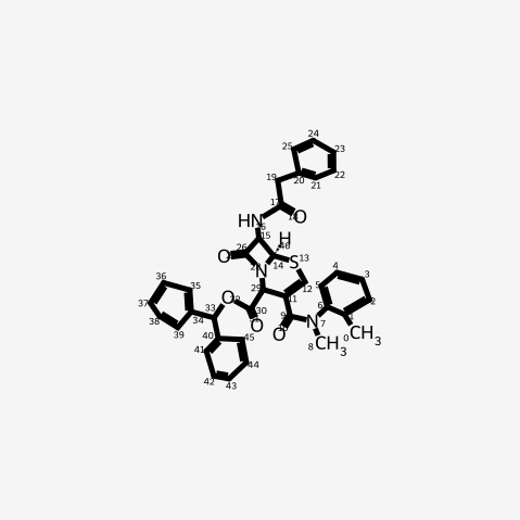 Cc1ccccc1N(C)C(=O)C1=CS[C@@H]2C(NC(=O)Cc3ccccc3)C(=O)N2C1C(=O)OC(c1ccccc1)c1ccccc1